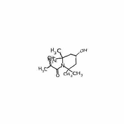 C=C(C)C(=O)N1C(C)(C)CC(O)CC1(C)C